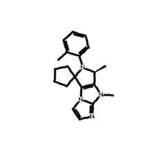 Cc1ccccc1N1[C@@H](C)c2c(n3ccnc3n2C)C12CCCC2